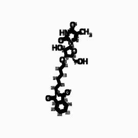 Cc1cn([C@@H]2O[C@H](CO)[C@@H](OCCCCCCN3C(=O)c4ccccc4C3=O)[C@H]2O)c(=O)[nH]c1=O